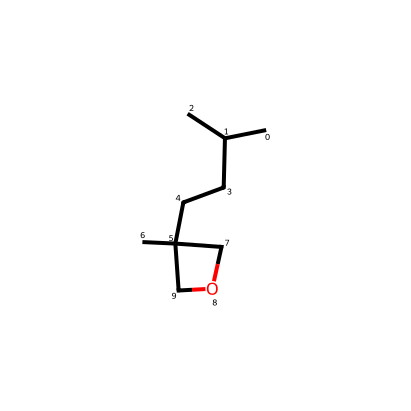 CC(C)CCC1(C)COC1